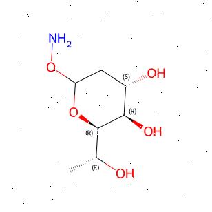 C[C@@H](O)[C@H]1OC(ON)C[C@H](O)[C@H]1O